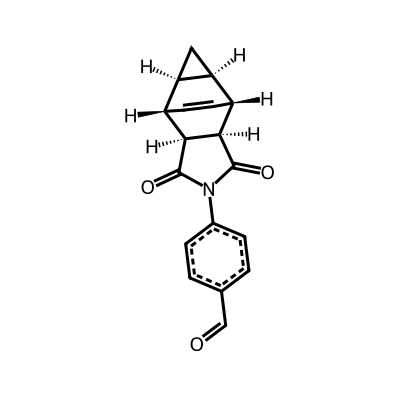 O=Cc1ccc(N2C(=O)[C@@H]3[C@@H]4C=C[C@@H]([C@H]5C[C@@H]45)[C@@H]3C2=O)cc1